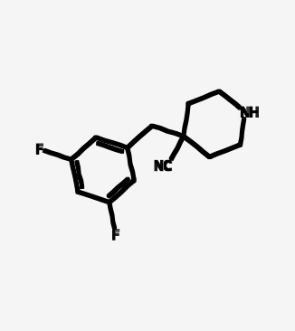 N#CC1(Cc2cc(F)cc(F)c2)CCNCC1